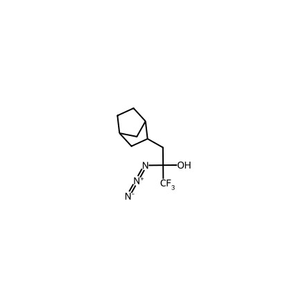 [N-]=[N+]=NC(O)(CC1CC2CCC1C2)C(F)(F)F